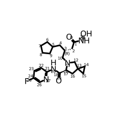 O=C(C[C@@H](CC1CCCC1)CN1CC2(CC2)C[C@H]1C(=O)Nc1ccc(F)cn1)NO